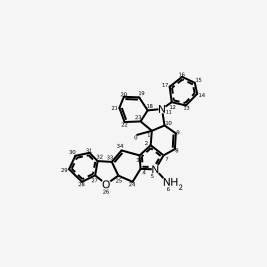 CC12c3c4c(n(N)c3C=CC1N(c1ccccc1)C1C=CC=CC12)CC1Oc2ccccc2C1=C4